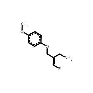 COc1ccc(OC/C(=C/F)CN)cc1